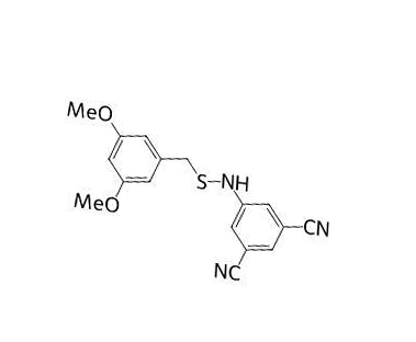 COc1cc(CSNc2cc(C#N)cc(C#N)c2)cc(OC)c1